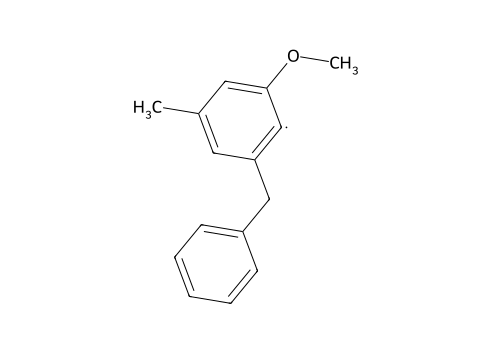 COc1[c]c(Cc2ccccc2)cc(C)c1